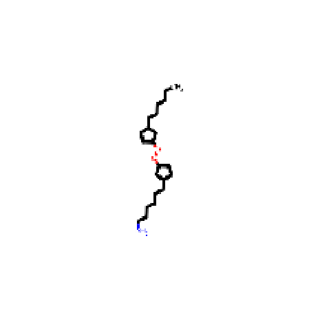 CCCCCCC1CCC(OOC2CCC(CCCCCCN)C2)C1